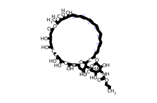 C=CCOC(=O)NC1C(O)C(C)OC(OC2/C=C/C=C/C=C/C=C/C=C/C=C/C=C/C(C)C(O)C(C)C(C)OC(=O)CC(O)CC(O)CCC(O)C(O)CC(O)CC3(O)CC(O)C(NC(C)=O)C(C2)O3)C1O